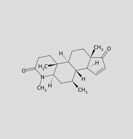 C[C@H]1C[C@H]2N(C)C(=O)CC[C@]2(C)[C@H]2CC[C@]3(C)C(=O)C=C[C@H]3[C@H]12